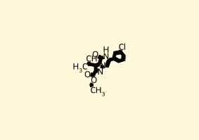 CCOC(=O)c1nn2cc(-c3cccc(Cl)c3)[nH]c(=O)c2c1C(C)C